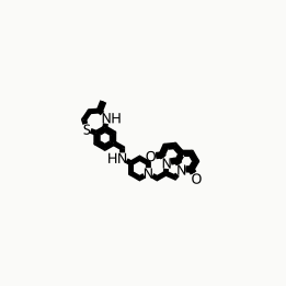 C=C1CCSc2ccc(CNC3CCN(CC4Cn5c(=O)ccc6ccc(=O)n4c65)CC3)cc2N1